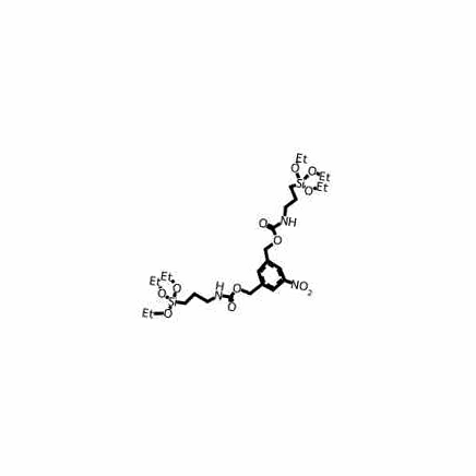 CCO[Si](CCCNC(=O)OCc1cc(COC(=O)NCCC[Si](OCC)(OCC)OCC)cc([N+](=O)[O-])c1)(OCC)OCC